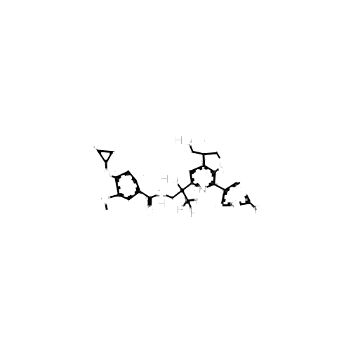 COc1cc(C(=O)NCC(O)(c2cc3c(c(-c4ccc(F)cc4)n2)OC[C@]3(C)CO)C(F)(F)F)ccc1OC1CC1